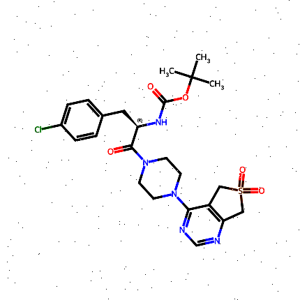 CC(C)(C)OC(=O)N[C@H](Cc1ccc(Cl)cc1)C(=O)N1CCN(c2ncnc3c2CS(=O)(=O)C3)CC1